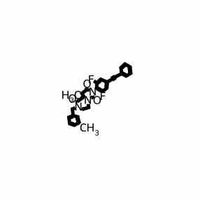 Cc1cccc(CN2CCN3C(=O)N(c4c(F)cc(C#Cc5ccccc5)cc4F)C(=O)CC3(C)C2=O)c1